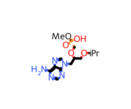 COP(=O)(O)COC(COC(C)C)Cn1cnc2c(N)ncnc21